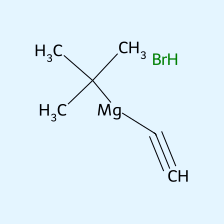 Br.C#[C][Mg][C](C)(C)C